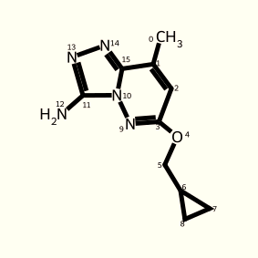 Cc1cc(OCC2CC2)nn2c(N)nnc12